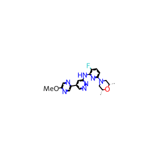 COc1cnc(-c2cnnc(Nc3nc(N4C[C@@H](C)O[C@@H](C)C4)ccc3F)c2)cn1